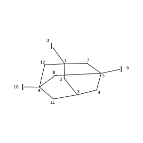 IC12CC3CC(I)(C1)CC(I)(C3)C2